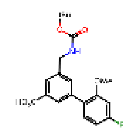 COc1cc(F)ccc1-c1cc(CNC(=O)OC(C)(C)C)cc(C(=O)O)c1